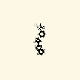 NC(=O)OC1CCCC(n2cc(-c3cnc4ccccc4n3)cn2)C1